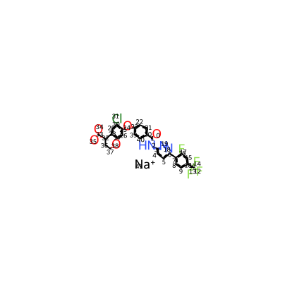 O=C(Nc1ccc(-c2ccc(C(F)(F)F)cc2F)nn1)c1ccc(Oc2cc3c(cc2Cl)C(C(=O)[O-])CCO3)cc1.[Na+]